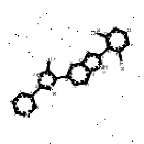 CC(C)c1sc(-c2cccnc2)nc1-c1ccc2[nH]c(-c3c(F)cccc3Cl)cc2c1